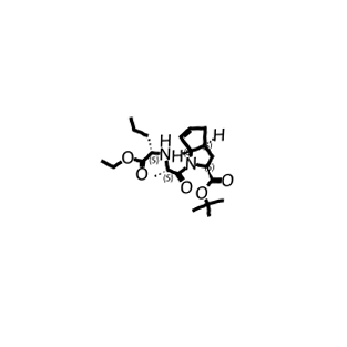 CCC[C@H](N[C@@H](C)C(=O)N1[C@@H]2C=CC[C@H]2C[C@H]1C(=O)OC(C)(C)C)C(=O)OCC